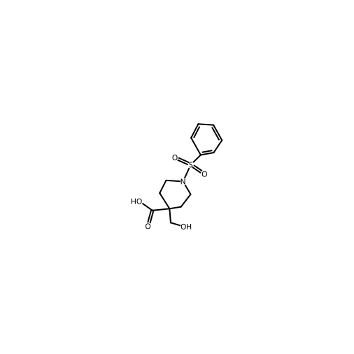 O=C(O)C1(CO)CCN(S(=O)(=O)c2ccccc2)CC1